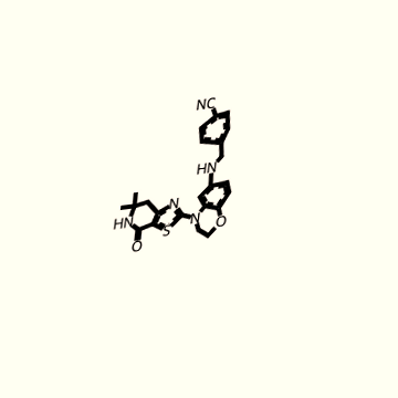 CC1(C)Cc2nc(N3CCOc4ccc(NCc5ccc(C#N)cc5)cc43)sc2C(=O)N1